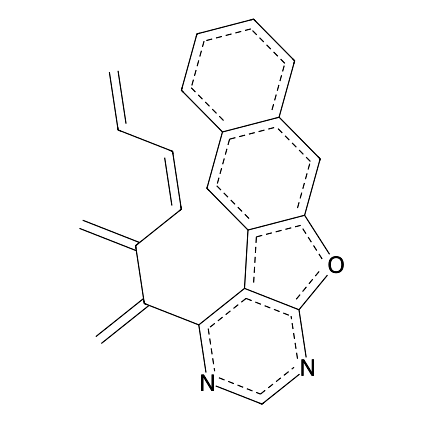 C=C/C=C\C(=C)C(=C)c1ncnc2oc3cc4ccccc4cc3c12